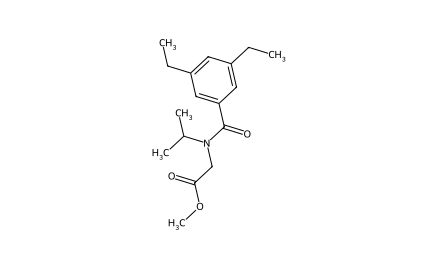 CCc1cc(CC)cc(C(=O)N(CC(=O)OC)C(C)C)c1